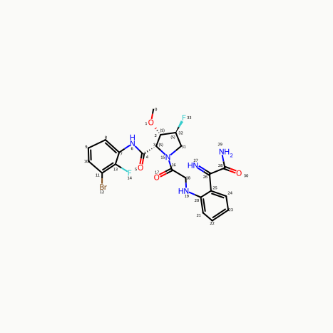 CO[C@H]1[C@@H](C(=O)Nc2cccc(Br)c2F)N(C(=O)CNc2ccccc2C(=N)C(N)=O)C[C@@H]1F